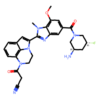 COc1cc(C(=O)N2C[C@H](N)C[C@@H](F)C2)cc2nc(-c3cc4cccc5c4n3CCN5C(=O)CC#N)n(C)c12